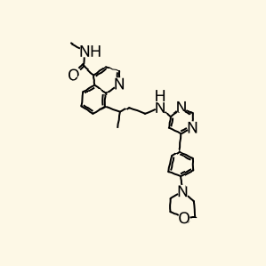 CNC(=O)c1ccnc2c(C(C)CCNc3cc(-c4ccc(N5CCOCC5)cc4)ncn3)cccc12